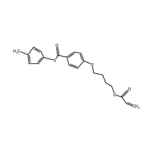 C=CC(=O)OCCCCOc1ccc(C(=O)Sc2ccc(C)cc2)cc1